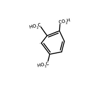 O=C(O)c1[c]c(C(=O)O)c(C(=O)O)cc1